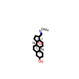 CON=CC1CC[C@@]2(O)[C@@H]3CCC4CC(O)CC[C@]4(C)[C@@H]3CC[C@]12C